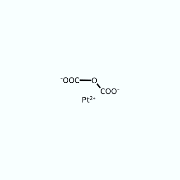 O=C([O-])OC(=O)[O-].[Pt+2]